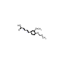 COCOc1ccc(/C=C/C=C/C(=O)O)cc1OC